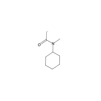 [CH2]C(=O)N(C)C1CCCCC1